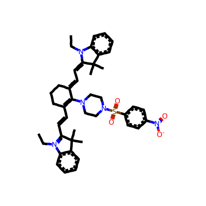 CCN1/C(=C/C=C2\CCCC(/C=C/C3=[N+](CC)c4ccccc4C3(C)C)=C2N2CCN(S(=O)(=O)c3ccc([N+](=O)[O-])cc3)CC2)C(C)(C)c2ccccc21